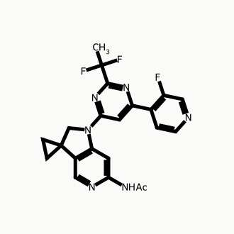 CC(=O)Nc1cc2c(cn1)C1(CC1)CN2c1cc(-c2ccncc2F)nc(C(C)(F)F)n1